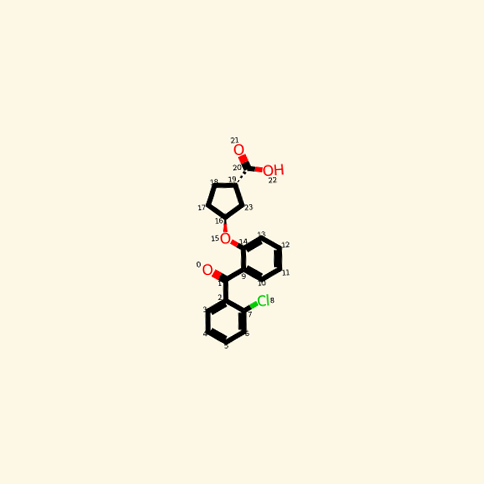 O=C(c1ccccc1Cl)c1ccccc1O[C@H]1CC[C@H](C(=O)O)C1